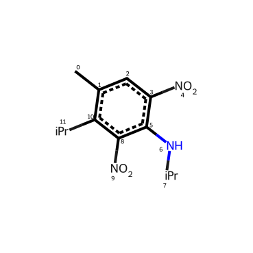 Cc1cc([N+](=O)[O-])c(NC(C)C)c([N+](=O)[O-])c1C(C)C